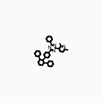 Cc1ccc(-c2nc(-c3ccccc3)nc(-c3ccc(-c4c(-c5ccccc5)cccc4-c4ccccc4)cc3)n2)c(C)n1